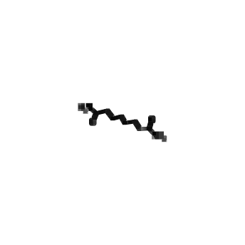 NC(=O)/C=C/C=C/C=C/C(N)=O